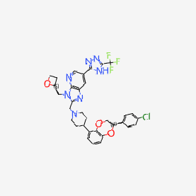 FC(F)(F)c1nnc(-c2cnc3c(c2)nc(CN2CCC(c4cccc5c4OC[C@@H](c4ccc(Cl)cc4)O5)CC2)n3C[C@@H]2CCO2)[nH]1